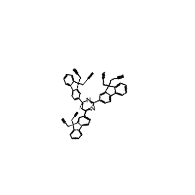 C#CCC1(CC#C)c2ccccc2-c2ccc(-c3nc(-c4ccc5c(c4)C(CC#C)(CC#C)c4ccccc4-5)nc(-c4ccc5c(c4)C(CC#C)(CC#C)c4ccccc4-5)n3)cc21